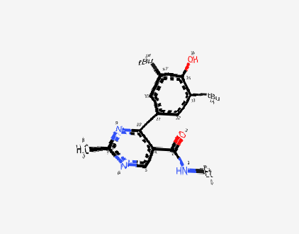 CCNC(=O)c1cnc(C)nc1-c1cc(C(C)(C)C)c(O)c(C(C)(C)C)c1